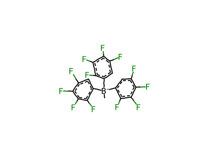 C[B-](c1cc(F)c(F)c(F)c1F)(c1cc(F)c(F)c(F)c1F)c1cc(F)c(F)c(F)c1F